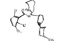 Cn1cc(-c2cccc(C(NC(=O)c3c(Cl)ccc(C(F)(F)F)c3Cl)[C@@H]3CCCCN3)c2)cn1